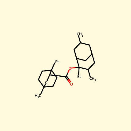 CCC1(OC(=O)C2CC3(C)CCC2(C(C)C)CC3)C(C)CC2CC(C)CC1C2